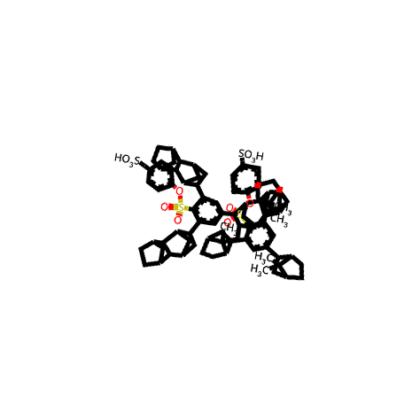 CC1(C)C2CCC1C(c1cc(C3CC4CCC3C4(C)C)c(S(=O)(=O)Oc3ccc(S(=O)(=O)O)cc3)c(C3CC4CCC3C4(C)CC3C4CC(C3c3cc(C5CC6CC5C5C7CCC(C7)C65)c(S(=O)(=O)Oc5ccc(S(=O)(=O)O)cc5)c(C5CC6CC5C5C7CCC(C7)C65)c3)C3C5CCC(C5)C43)c1)C2